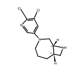 Clc1cc(N2CCC[C@H]3CN[C@H]3C2)cnc1Cl